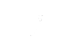 CCCCCCCCCCCCCCCCCCCN1C=CN(CCCCCCCCCCC)C1